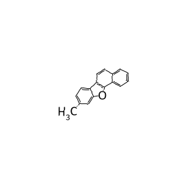 Cc1ccc2c(c1)oc1c3ccccc3ccc21